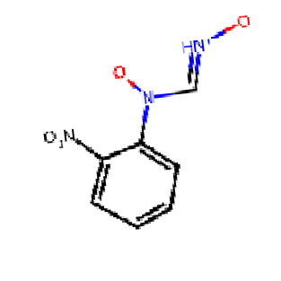 [O]N(C=[NH+][O-])c1ccccc1[N+](=O)[O-]